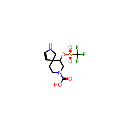 O=C(O)N1CCC2(C=CNC2)C(OS(=O)(=O)C(F)(F)F)C1